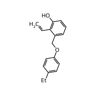 C=Cc1c(O)cccc1COc1ccc(CC)cc1